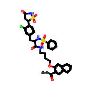 COC(=O)c1cc2ccccc2cc1OCCCCNC(=O)C(Cc1ccc(C2CC(=O)NS2(=O)=O)c(Cl)c1)NS(=O)(=O)c1ccccc1